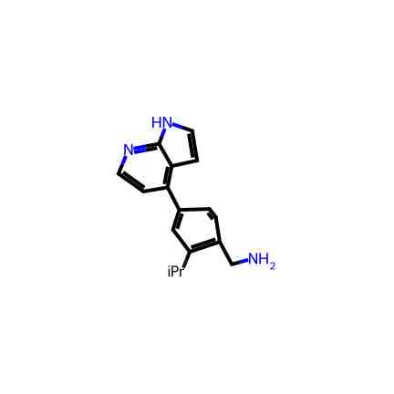 CC(C)c1cc(-c2ccnc3[nH]ccc23)ccc1CN